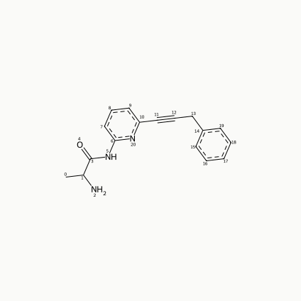 CC(N)C(=O)Nc1cccc(C#CCc2ccccc2)n1